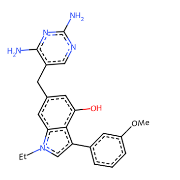 CCn1cc(-c2cccc(OC)c2)c2c(O)cc(Cc3cnc(N)nc3N)cc21